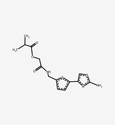 CC(C)C(=O)OCC(=O)NCc1ccc(-c2csc(N)n2)s1